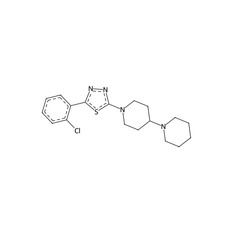 Clc1ccccc1-c1nnc(N2CCC(N3CCCCC3)CC2)s1